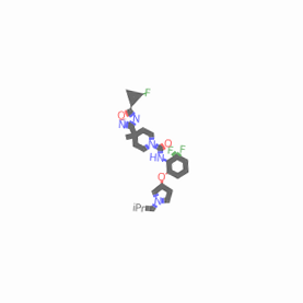 CC(C)CN1CC[C@H](O[C@H]2CCCC(F)(F)[C@@H]2NC(=O)N2CCC(C)(c3noc([C@@H]4C[C@@H]4F)n3)CC2)C1